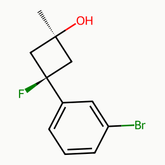 C[C@]1(O)C[C@](F)(c2cccc(Br)c2)C1